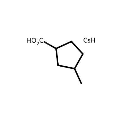 CC1CCC(C(=O)O)C1.[CsH]